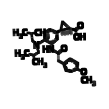 COc1ccc(CC(=O)Nc2cc([C@H]3C[C@H]3C(=O)O)ccc2N(CC(C)C)CC(C)C)cc1